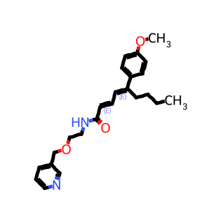 CCCC/C(=C\C=C\C(=O)NCCOCc1cccnc1)c1ccc(OC)cc1